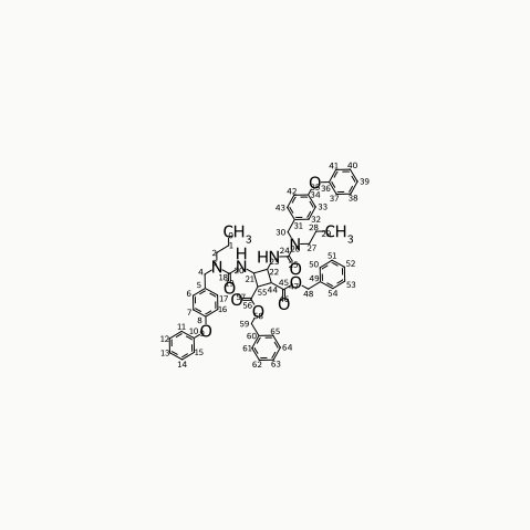 CCCN(Cc1ccc(Oc2ccccc2)cc1)C(=O)NC1C(NC(=O)N(CCC)Cc2ccc(Oc3ccccc3)cc2)C(C(=O)OCc2ccccc2)C1C(=O)OCc1ccccc1